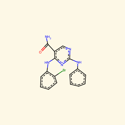 NC(=O)c1cnc(Nc2ccccc2)nc1Nc1ccccc1Br